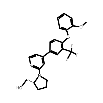 COc1ccccc1Sc1ccc(-c2ccnc(N3CCC[C@@H]3CO)c2)cc1C(F)(F)F